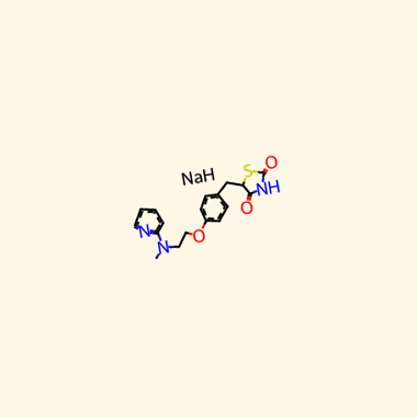 CN(CCOc1ccc(CC2SC(=O)NC2=O)cc1)c1ccccn1.[NaH]